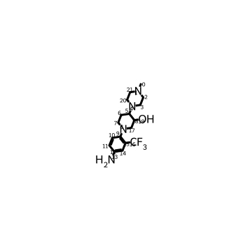 CN1CCN(C2CCN(c3ccc(N)cc3C(F)(F)F)CC2O)CC1